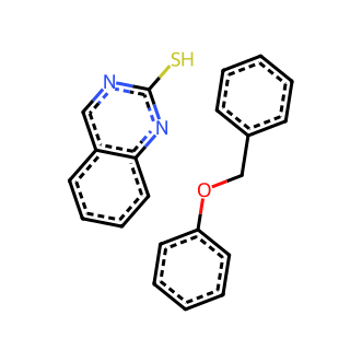 Sc1ncc2ccccc2n1.c1ccc(COc2ccccc2)cc1